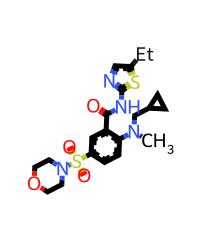 CCc1cnc(NC(=O)c2cc(S(=O)(=O)N3CCOCC3)ccc2N(C)CC2CC2)s1